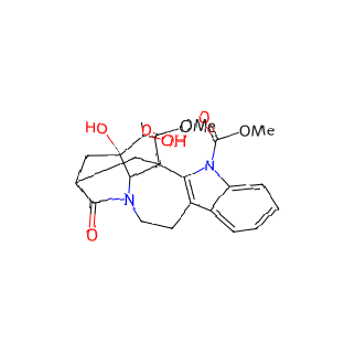 COC(=O)n1c2c(c3ccccc31)CCN1C(=O)C3CC2(C(=O)OC)C1C(O)(C(C)O)C3